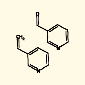 C=Cc1cccnc1.O=Cc1cccnc1